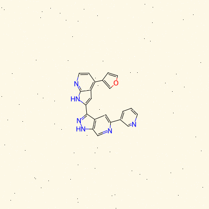 c1cncc(-c2cc3c(-c4cc5c(-c6ccoc6)ccnc5[nH]4)n[nH]c3cn2)c1